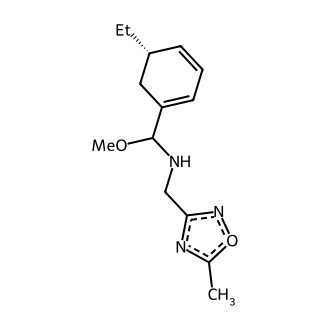 CC[C@@H]1C=CC=C(C(NCc2noc(C)n2)OC)C1